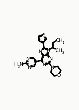 CCC(C)n1c(-c2ccsc2)nc2c(-c3cnc(N)nc3)nc(N3CCOCC3)nc21